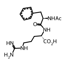 CC(=O)N[C@H](Cc1ccccc1)C(=O)N[C@@H](CCCNC(=N)N)C(=O)O